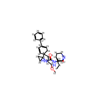 CCC1(NC(=O)NC2(C3(CCCOC)C=CC(c4ccccc4)=CC3)CC2)CN2CCC1CC2